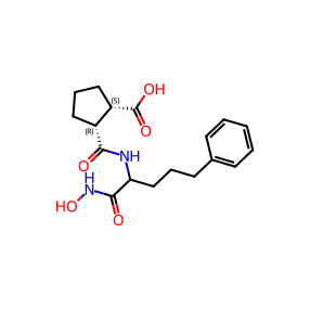 O=C(NO)C(CCCc1ccccc1)NC(=O)[C@@H]1CCC[C@@H]1C(=O)O